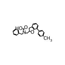 Cc1ccc(-c2cccc3c2OC(CN(Cc2ccccc2)C(=O)O)C3)cc1